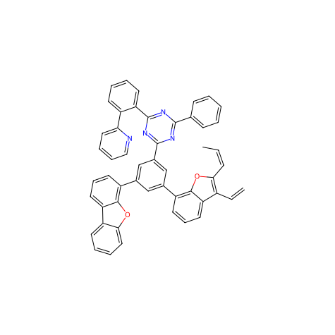 C=Cc1c(/C=C\C)oc2c(-c3cc(-c4nc(-c5ccccc5)nc(-c5ccccc5-c5ccccn5)n4)cc(-c4cccc5c4oc4ccccc45)c3)cccc12